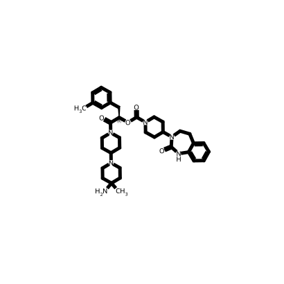 Cc1cccc(C[C@@H](OC(=O)N2CCC(N3CCc4ccccc4NC3=O)CC2)C(=O)N2CCC(N3CCC(C)(N)CC3)CC2)c1